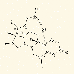 C[C@@H]1CC2C3C[C@H](F)C4=CC(=O)C=C[C@]4(C)[C@@]3(F)[C@@H](O)C[C@]2(C)[C@@]1(C)C(=O)SCC(=O)O